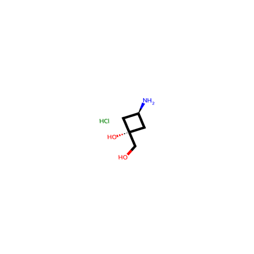 Cl.N[C@H]1C[C@@](O)(CO)C1